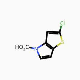 O=C(O)n1ccc2sc(Cl)cc21